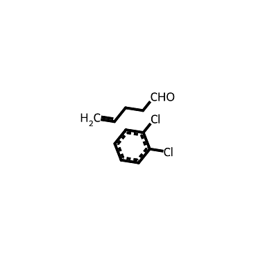 C=CCCC=O.Clc1ccccc1Cl